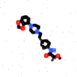 CO[C@H](C)C(=O)N[C@H]1CC[C@H](CCN2CCN(c3cccc4c3OCO4)CC2)CC1